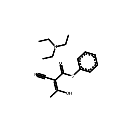 CC(O)=C(C#N)C(=O)Sc1ccccc1.CCN(CC)CC